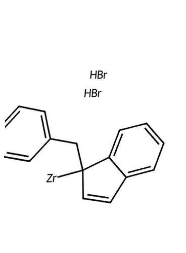 Br.Br.[Zr][C]1(Cc2ccccc2)C=Cc2ccccc21